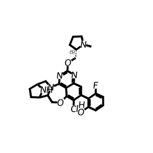 CN1CCC[C@H]1COc1nc2c3c(c(Cl)c(-c4c(O)cccc4F)cc3n1)OCC1C3CCC(CN21)N3